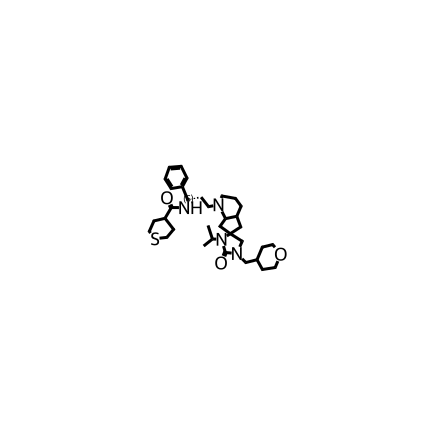 CC(C)N1C(=O)N(CC2CCOCC2)CC12CC1CCCN(CC[C@H](NC(=O)C3CCSCC3)c3ccccc3)C1C2